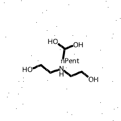 CCCCCC(O)O.OCCNCCO